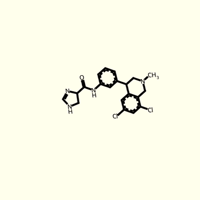 CN1Cc2c(Cl)cc(Cl)cc2C(c2cccc(NC(=O)C3CNC=N3)c2)C1